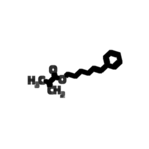 C=C(C)C(=O)OCCCCC=Cc1ccccc1